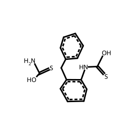 NC(O)=S.OC(=S)Nc1ccccc1Cc1ccccc1